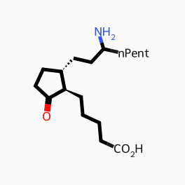 CCCCCC(N)CC[C@H]1CCC(=O)[C@@H]1CCCCC(=O)O